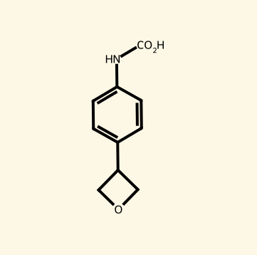 O=C(O)Nc1ccc(C2COC2)cc1